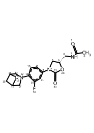 CC(=O)NC[C@H]1CN(c2ccc(N3CC4CC(C3)O4)c(F)c2)C(=O)O1